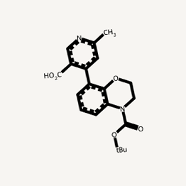 Cc1cc(-c2cccc3c2OCCN3C(=O)OC(C)(C)C)c(C(=O)O)cn1